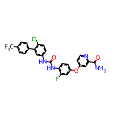 NC(=O)c1cc(Oc2ccc(NC(=O)Nc3ccc(Cl)c(-c4ccc(C(F)(F)F)cc4)c3)c(F)c2)ccn1